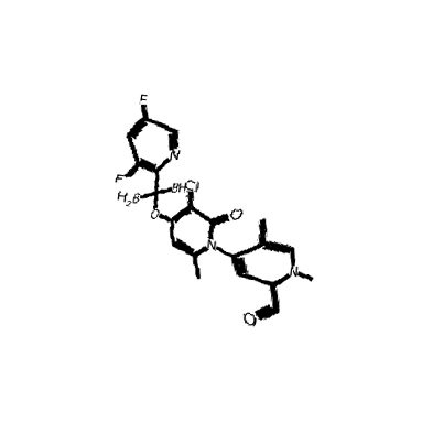 BC(B)(Oc1cc(C)n(C2=CC(C=O)N(C)C=C2C)c(=O)c1Cl)c1ncc(F)cc1F